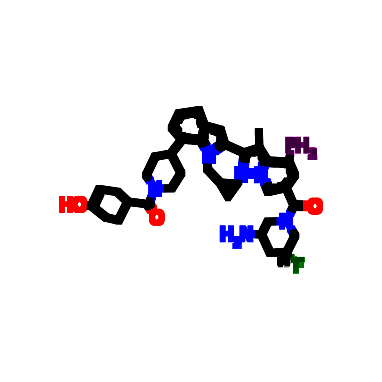 Cc1c(-c2cc3cccc(C4CCN(C(=O)C5CC=C(O)CC5)CC4)c3n2CC2CC2)nn2cc(C(=O)N3CC(N)C[C@@H](F)C3)cc(P)c12